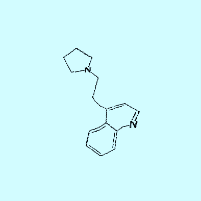 c1ccc2c(CCN3CCCC3)ccnc2c1